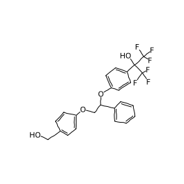 OCc1ccc(OCC(Oc2ccc(C(O)(C(F)(F)F)C(F)(F)F)cc2)c2ccccc2)cc1